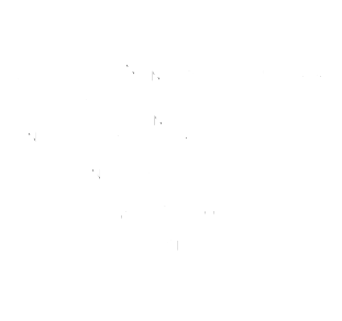 CCCSC1CC2OC(C)(C)OC2(n2nnc3c(Cl)ncnc32)C1O